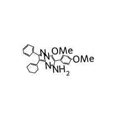 COc1ccc(-c2c(N)nc3c(C4=CCCCC4)c(-c4ccccc4)nn3c2OC)cc1